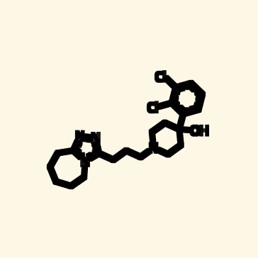 OC1(c2cccc(Cl)c2Cl)CCN(CCCc2nnc3n2CCCCC3)CC1